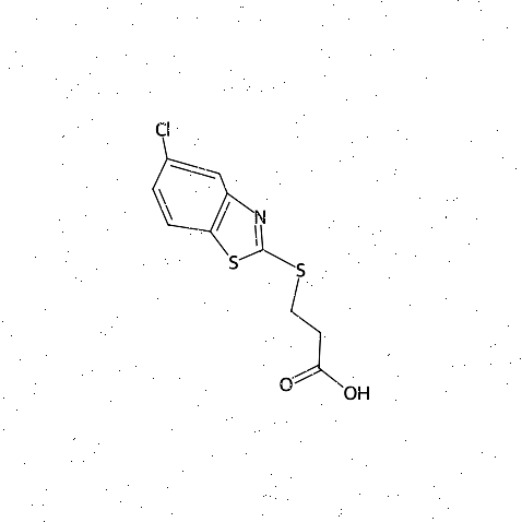 O=C(O)CCSc1nc2cc(Cl)ccc2s1